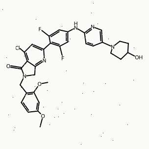 COc1ccc(CN2Cc3nc(-c4c(F)cc(Nc5ccc(N6CCC(O)CC6)cn5)cc4F)cc(Cl)c3C2=O)c(OC)c1